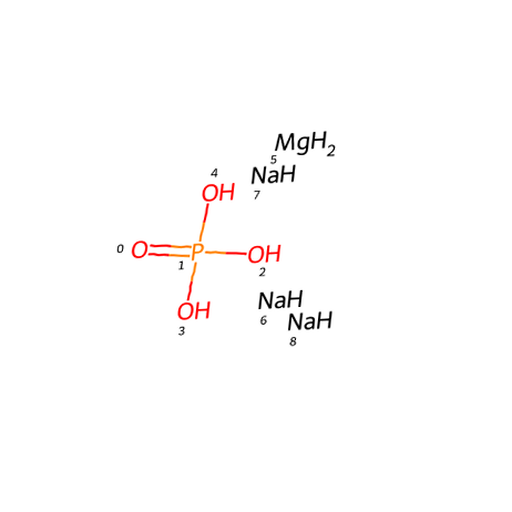 O=P(O)(O)O.[MgH2].[NaH].[NaH].[NaH]